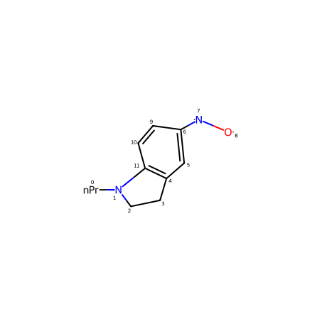 CCCN1CCc2cc([N][O])ccc21